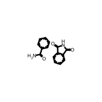 NC(=O)c1ccccc1.O=C1NC(=O)c2ccccc21